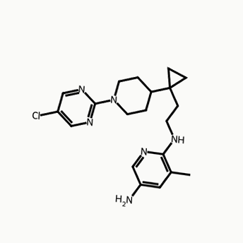 Cc1cc(N)cnc1NCCC1(C2CCN(c3ncc(Cl)cn3)CC2)CC1